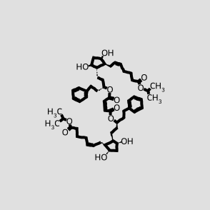 CC(C)OC(=O)CCC/C=C\C[C@@H]1[C@@H](CC[C@H](CCc2ccccc2)OC(=O)/C=C\C(=O)O[C@H](CCc2ccccc2)CC[C@H]2[C@H](C/C=C\CCCC(=O)OC(C)C)[C@H](O)C[C@@H]2O)[C@H](O)C[C@@H]1O